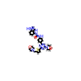 O=C(Nc1ccc(-c2nc(-c3ccc(CN4CCOCC4)s3)nc(N3CCOCC3)n2)cc1)Nc1cccc2[nH]ncc12